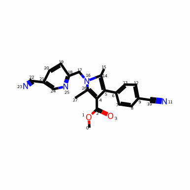 COC(=O)c1c(-c2ccc(C#N)cc2)c(C)n(Cc2ccc(C#N)cn2)c1C